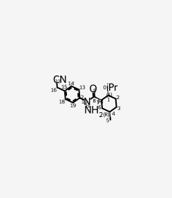 CC(C)[C@@H]1CC[C@@H](C)C[C@H]1C(=O)N(N)c1ccc(CC#N)cc1